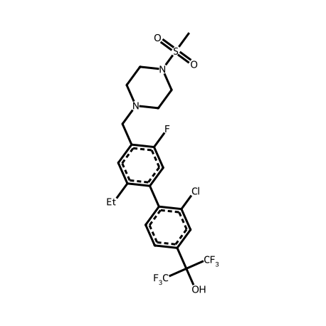 CCc1cc(CN2CCN(S(C)(=O)=O)CC2)c(F)cc1-c1ccc(C(O)(C(F)(F)F)C(F)(F)F)cc1Cl